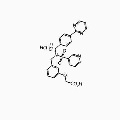 Cl.Cl.O=C(O)COc1cccc(CN(Cc2ccc(-c3ncccn3)cc2)S(=O)(=O)c2cccnc2)c1